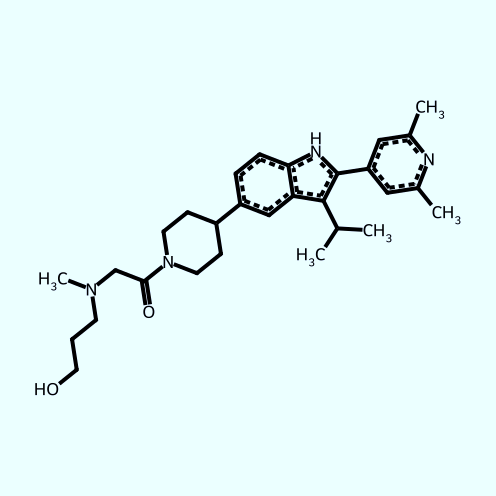 Cc1cc(-c2[nH]c3ccc(C4CCN(C(=O)CN(C)CCCO)CC4)cc3c2C(C)C)cc(C)n1